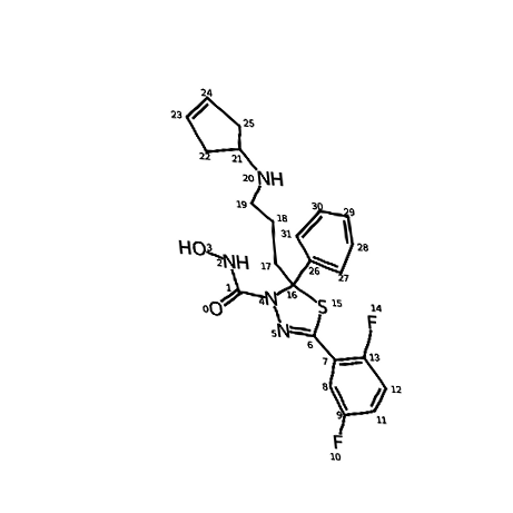 O=C(NO)N1N=C(c2cc(F)ccc2F)SC1(CCCNC1CC=CC1)c1ccccc1